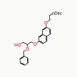 CCCCCCCCCCCCOc1ccc2ccc(OCC(CO)OCc3ccccc3)cc2c1